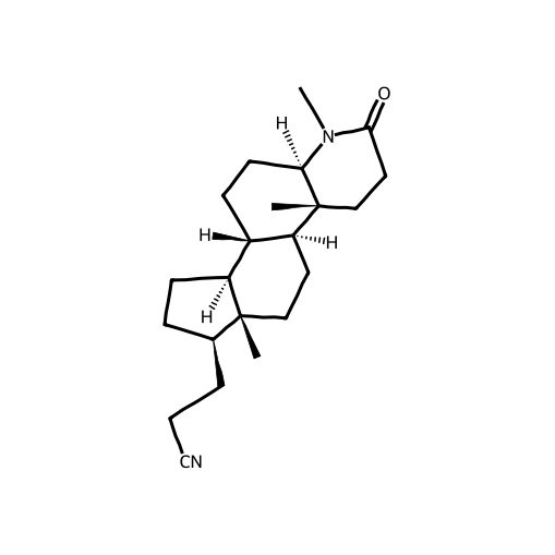 CN1C(=O)CC[C@]2(C)[C@H]3CC[C@]4(C)[C@@H](CCC#N)CC[C@H]4[C@@H]3CC[C@@H]12